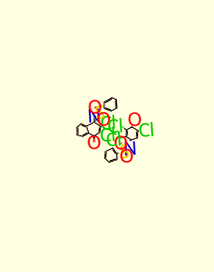 O=C1C(Cl)=C(Cl)C(=NS(=O)(=O)c2ccccc2)c2ccccc21.O=C1C(Cl)=CC(=NS(=O)(=O)c2ccccc2)C(Cl)=C1Cl